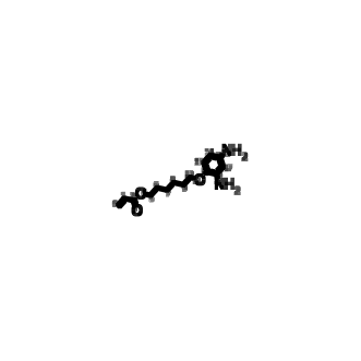 C=CC(=O)OCCCCCCOc1ccc(N)cc1N